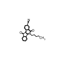 CCCCCn1c2c(c3ccc(C#N)cc3c1=O)C(=O)c1ccccc1-2